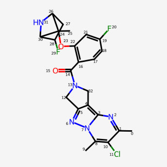 Cc1nc2c3c(nn2c(C)c1Cl)CN(C(=O)c1ccc(F)cc1OC1(C)C2CC(F)C1N2)C3